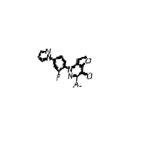 CC(=O)c1nn(-c2ccc(-n3cccn3)cc2F)c2ccoc2c1=O